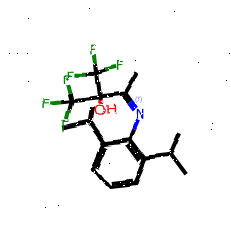 C/C(=N/c1c(C(C)C)cccc1C(C)C)C(O)(C(F)(F)F)C(F)(F)F